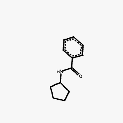 O=C(NC1CCCC1)c1[c]cccc1